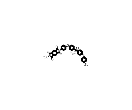 CC(C)(C)c1ccc(Oc2ccc(C(c3ccc(Oc4ccc(N5C(=O)C6CC7C(=O)N(C(C)(C)C)C(=O)C7CC6C5=O)cc4)cc3)(C(F)(F)F)C(F)(F)F)cc2)cc1